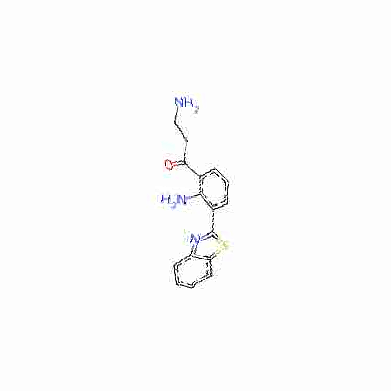 NCCC(=O)c1cccc(-c2nc3ccccc3s2)c1N